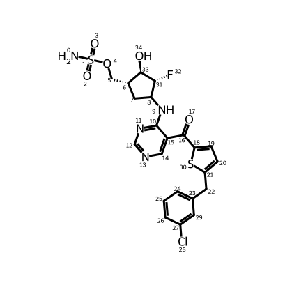 NS(=O)(=O)OC[C@H]1CC(Nc2ncncc2C(=O)c2ccc(Cc3cccc(Cl)c3)s2)[C@@H](F)[C@@H]1O